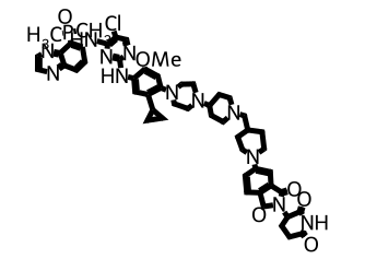 COc1cc(N2CCN(C3CCN(CC4CCN(c5ccc6c(c5)C(=O)N(C5CCC(=O)NC5=O)C6=O)CC4)CC3)CC2)c(C2CC2)cc1Nc1ncc(Cl)c(Nc2ccc3nccnc3c2P(C)(C)=O)n1